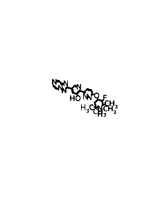 CC1(C)C[C@@H](Oc2ccc(-c3ncc(-c4nc5cnccn5n4)cc3O)nn2)[C@@H](F)C(C)(C)N1